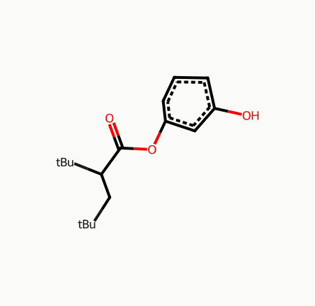 CC(C)(C)CC(C(=O)Oc1cccc(O)c1)C(C)(C)C